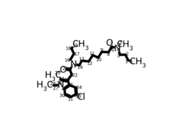 CCCCN(C)C(=O)CCCCCCCN(CCCC)C(=O)Cc1c(C)n(CC)c2ccc(Cl)cc12